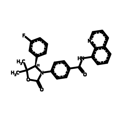 CC1(C)OC(=O)N(c2ccc(C(=O)Nc3cccc4cccnc34)cc2)[C@@H]1c1cccc(F)c1